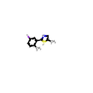 Cc1cnc(-c2cc(I)ccc2C)s1